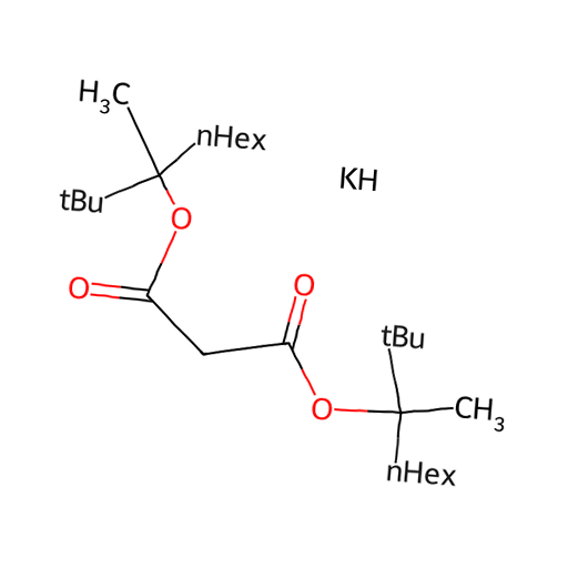 CCCCCCC(C)(OC(=O)CC(=O)OC(C)(CCCCCC)C(C)(C)C)C(C)(C)C.[KH]